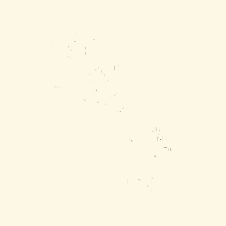 BSCCC(=O)N(C)C(C)C(=O)OCC(=O)N(C)c1cc(C/C(C)=C/C=C/C(OC)C2(O)CC(C(C)C3OC3(C)C)OC(=O)N2)cc(OC)c1Cl